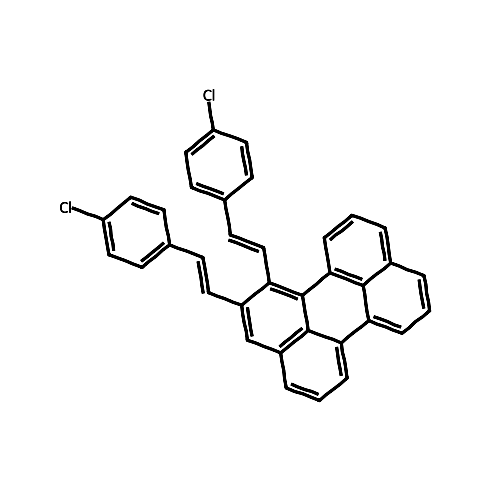 Clc1ccc(C=Cc2cc3cccc4c5cccc6cccc(c(c2C=Cc2ccc(Cl)cc2)c34)c65)cc1